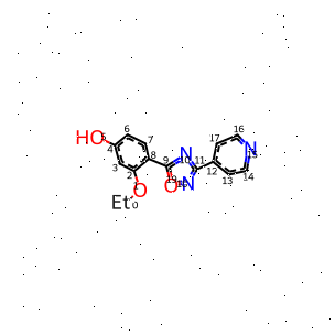 CCOc1cc(O)ccc1-c1nc(-c2ccncc2)no1